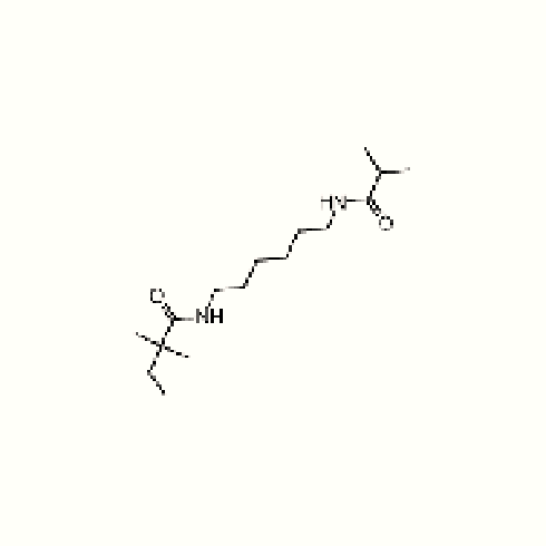 CCC(C)(C)C(=O)NCCCCCCNC(=O)C(C)C